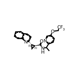 CC(NC(=O)[C@H]1C[C@@H]1c1ccc2ccccc2n1)c1ccc(OCC(F)(F)F)cn1